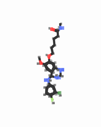 CNC(=O)CCCCCOc1cc2c(cc1OC)C(Nc1ccc(F)c(Cl)c1)NCN2